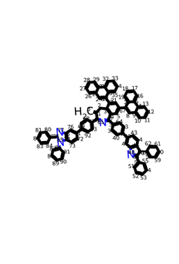 C=C1Cc2c(cc(-c3cc4ccccc4c4ccccc34)cc2-c2cc3ccccc3c3ccccc23)C(c2ccc(-c3ccc4c(c3)N=C(c3ccccc3)[C@@H]4c3ccccc3)cc2)=NC1c1ccc(-c2ccc3c(c2)nc(-c2ccccc2)n3-c2ccccc2)cc1